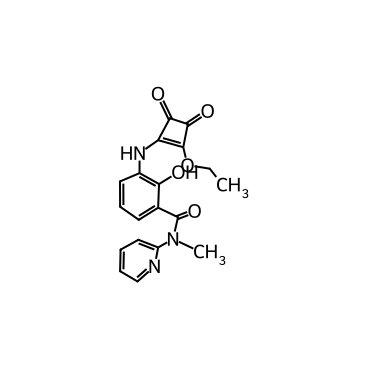 CCOc1c(Nc2cccc(C(=O)N(C)c3ccccn3)c2O)c(=O)c1=O